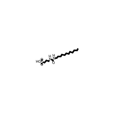 CCCCCCCCCCCCNC(=O)NCCCS(=O)(=O)O